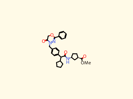 COC(=O)[C@@H]1CC[C@H](NC(=O)C(c2ccc(CN3N=C(c4ccccc4)OCC3=O)cc2)C2CCCC2)C1